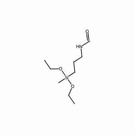 CCO[Si](C)(CCCN[C]=O)OCC